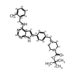 CC(C)(C)OC(=O)N1CCN(Cc2ccc(-c3cc4c(NCc5ccccc5Cl)ncnc4[nH]3)cc2)CC1